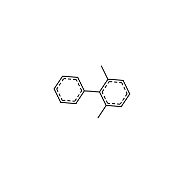 Cc1cccc(C)c1-c1ccccc1